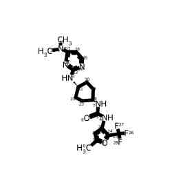 Cc1cc(NC(=O)N[C@H]2CC[C@@H](Nc3nccc(N(C)C)n3)CC2)c(C(F)(F)F)o1